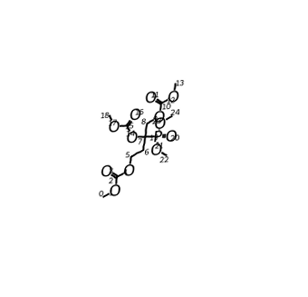 COC(=O)OCCC(COC(=O)OC)(OC(=O)OC)P(=O)(OC)OC